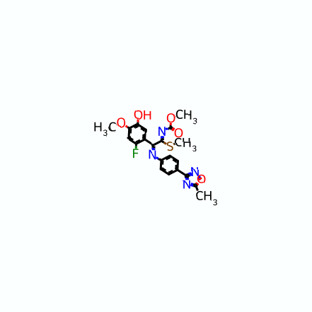 COC(=O)N=C(SC)C(=Nc1ccc(-c2noc(C)n2)cc1)c1cc(O)c(OC)cc1F